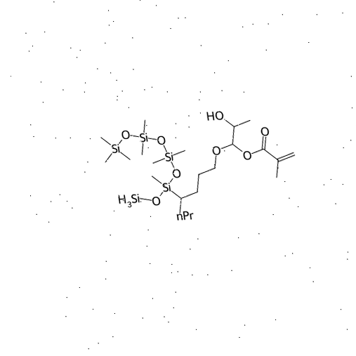 C=C(C)C(=O)OC(OCCCC(CCC)[Si](C)(O[SiH3])O[Si](C)(C)O[Si](C)(C)O[Si](C)(C)C)C(C)O